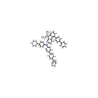 CC1(C)c2cc(N(c3ccc(-c4ccc(C5CC6CCC5C6)cc4)cc3)c3ccc(C4CCCCC4)cc3)ccc2-c2c(-c3ccc(-c4ccccc4)cc3)cccc21